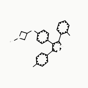 CCC(C)N1CC(Oc2ccc(-c3c(-c4ccccc4Cl)noc3-c3ccc(O)cc3)cc2)C1